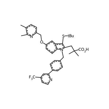 Cc1ccc(COc2ccc3c(c2)c(SC(C)(C)C)c(CC(C)(C)C(=O)O)n3Cc2ccc(-c3cc(C(F)(F)F)ccn3)cc2)nc1C